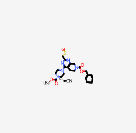 CC(C)(C)OC(=O)N1CCN(c2nc(C[S+]=O)nc3c2CCN(C(=O)OCc2ccccc2)C3)C[C@@H]1CC#N